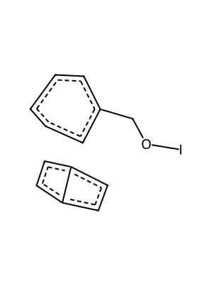 IOCc1ccccc1.c1cc2ccc1-2